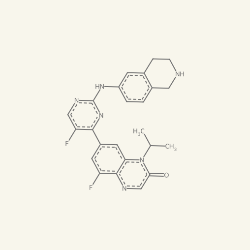 CC(C)n1c(=O)cnc2c(F)cc(-c3nc(Nc4ccc5c(c4)CCNC5)ncc3F)cc21